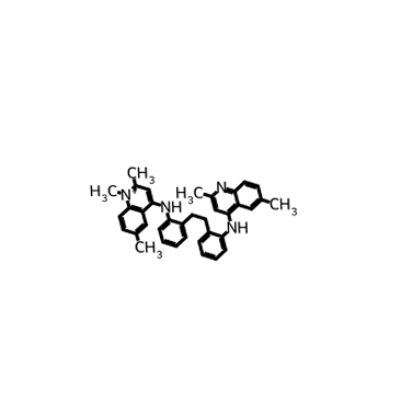 Cc1ccc2nc(C)cc(Nc3ccccc3CCc3ccccc3Nc3cc(C)[n+](C)c4ccc(C)cc34)c2c1